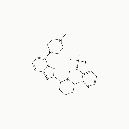 CN1CCN(c2cccc3nc(C4CCCC(c5ncccc5OC(F)(F)F)N4C)cn23)CC1